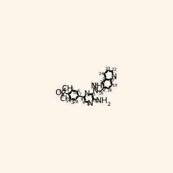 CP(C)(=O)c1ccc(-c2cnc(N)c(N(N)Cc3ccc4ncccc4c3)n2)cc1